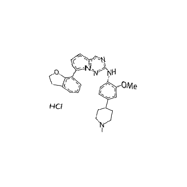 COc1cc(C2CCN(C)CC2)ccc1Nc1ncc2ccc(-c3cccc4c3OCC4)n2n1.Cl